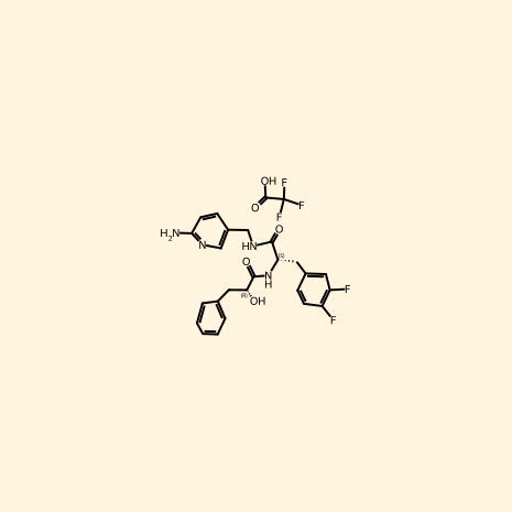 Nc1ccc(CNC(=O)[C@H](Cc2ccc(F)c(F)c2)NC(=O)[C@H](O)Cc2ccccc2)cn1.O=C(O)C(F)(F)F